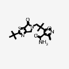 Cc1noc(C(C)(C)CN2Cc3nc(C(C)(C)C)sc3C2=O)c1C(N)=O